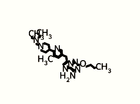 CCCCOc1nc(N)c2ncc(Cc3cnc(C4CCN(CN(CC)CC)CC4)c(C)c3)n2n1